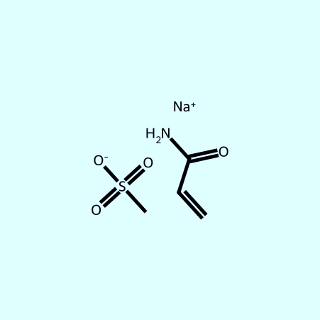 C=CC(N)=O.CS(=O)(=O)[O-].[Na+]